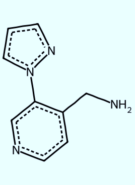 NCc1ccncc1-n1cccn1